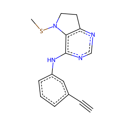 C#Cc1cccc(Nc2ncnc3c2N(SC)CC3)c1